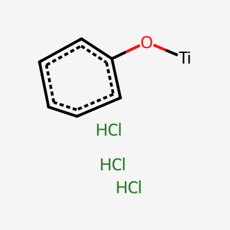 Cl.Cl.Cl.[Ti][O]c1ccccc1